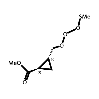 COC(=O)[C@@H]1C[C@H]1COOOSC